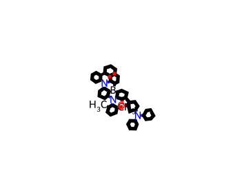 Cc1cccc(C)c1N1c2cccc3c2B(c2ccccc2N3c2ccccc2-c2ccccc2)c2ccc3c(oc4cc(N(c5ccccc5)c5ccccc5)ccc43)c21